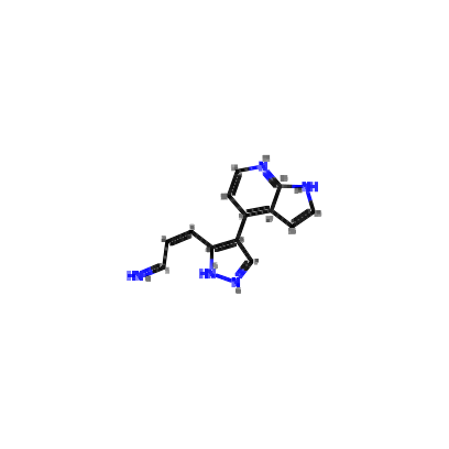 N=C/C=C\c1[nH]ncc1-c1ccnc2[nH]ccc12